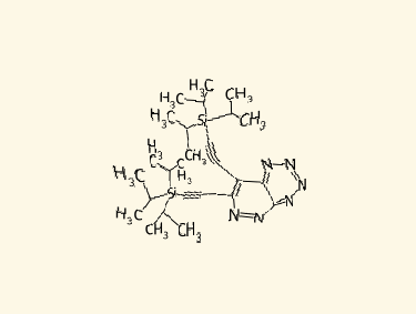 CC(C)[Si](C#Cc1nnc2nnnnc2c1C#C[Si](C(C)C)(C(C)C)C(C)C)(C(C)C)C(C)C